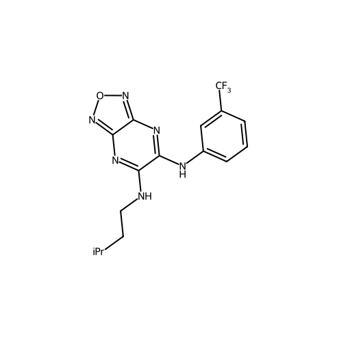 CC(C)CCNc1nc2nonc2nc1Nc1cccc(C(F)(F)F)c1